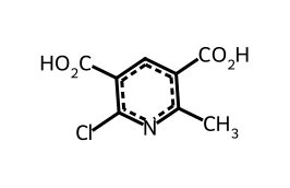 Cc1nc(Cl)c(C(=O)O)cc1C(=O)O